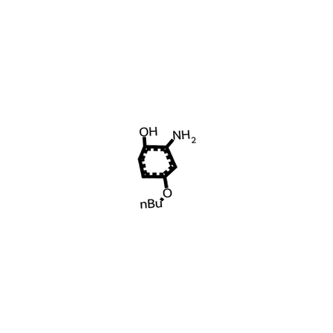 CCCCOc1ccc(O)c(N)c1